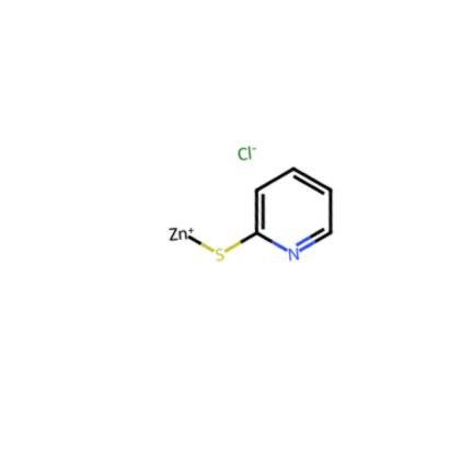 [Cl-].[Zn+][S]c1ccccn1